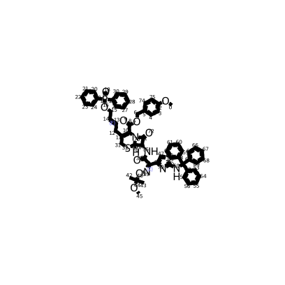 COc1ccc(COC(=O)C2=C(C/C=C/COP(=O)(c3ccccc3)c3ccccc3)CS[C@H]3[C@H](NC(=O)/C(=N\OC(C)(C)OC)c4csc(NC(c5ccccc5)(c5ccccc5)c5ccccc5)n4)C(=O)N23)cc1